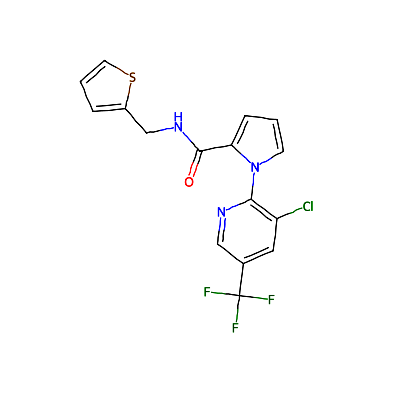 O=C(NCc1cccs1)c1cccn1-c1ncc(C(F)(F)F)cc1Cl